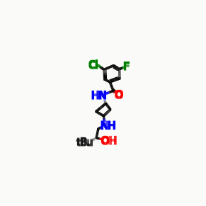 CC(C)(C)[C@@H](O)CN[C@H]1C[C@H](NC(=O)c2cc(F)cc(Cl)c2)C1